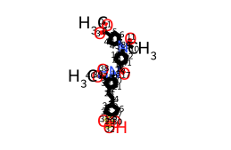 COC(=O)c1ccc(N(C(C)=O)c2ccc(C(=O)Nc3ccc(/C=C/c4ccc(S(=O)(=O)O)cc4)cc3C(=O)OC)cc2)cc1